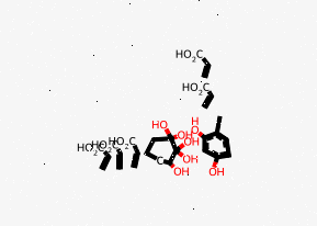 C=CC(=O)O.C=CC(=O)O.C=CC(=O)O.C=CC(=O)O.C=CC(=O)O.Cc1ccc(O)cc1O.OC1CCCC(O)(O)C1(O)O